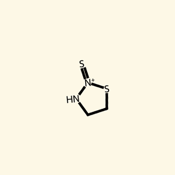 S=[N+]1NCCS1